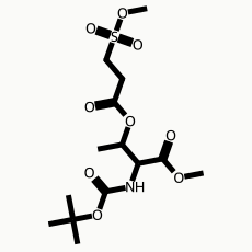 COC(=O)C(NC(=O)OC(C)(C)C)C(C)OC(=O)CCS(=O)(=O)OC